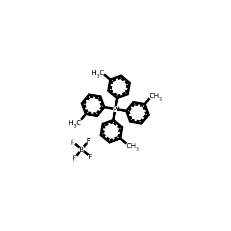 Cc1cccc([P+](c2cccc(C)c2)(c2cccc(C)c2)c2cccc(C)c2)c1.F[B-](F)(F)F